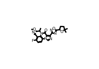 COCC(C)n1c(=O)c2c(-c3noc(C4CCC(C)(C)O4)n3)ncn2c2ccc(F)c(C#N)c21